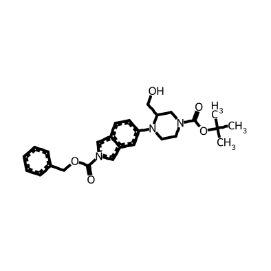 CC(C)(C)OC(=O)N1CCN(c2ccc3cn(C(=O)OCc4ccccc4)cc3c2)C(CO)C1